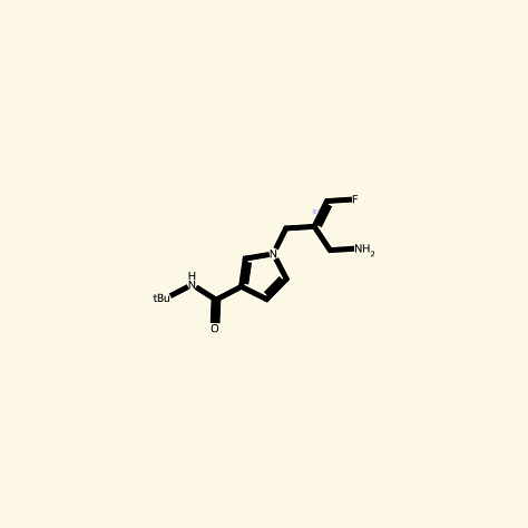 CC(C)(C)NC(=O)c1ccn(C/C(=C/F)CN)c1